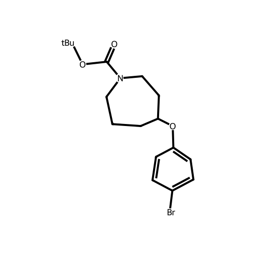 CC(C)(C)OC(=O)N1CCCC(Oc2ccc(Br)cc2)CC1